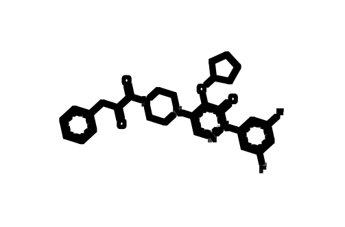 O=C(Cc1ccccc1)C(=O)N1CCN(c2cnn(-c3cc(F)cc(F)c3)c(=O)c2OC2CCCC2)CC1